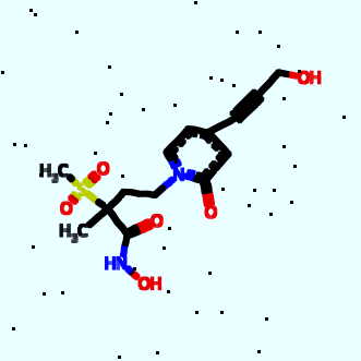 CC(CCn1ccc(C#CCO)cc1=O)(C(=O)NO)S(C)(=O)=O